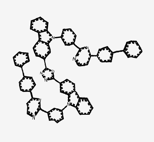 c1ccc(-c2ccc(-c3ccnc(-c4cccc(-n5c6ccccc6c6ccc(-c7nnc(-c8ccc9c%10ccccc%10n(-c%10cccc(-c%11nccc(-c%12ccc(-c%13ccccc%13)cc%12)n%11)c%10)c9c8)o7)cc65)c4)n3)cc2)cc1